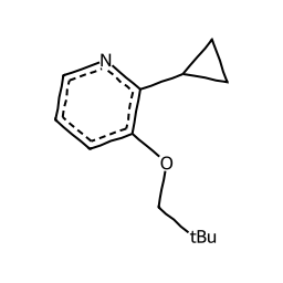 CC(C)(C)COc1cccnc1C1CC1